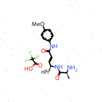 CCC[C@@H](/C=C/C(=O)Nc1ccc(OC)cc1)NC(=O)[C@H](C)N.O=C(O)C(F)(F)F